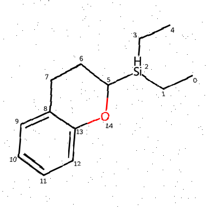 CC[SiH](CC)C1CCc2ccccc2O1